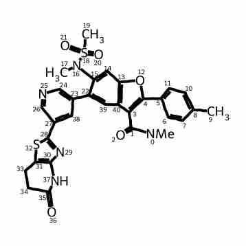 CNC(=O)c1c(-c2ccc(C)cc2)oc2cc(N(C)S(C)(=O)=O)c(-c3cncc(-c4nc5c(s4)CCC(=O)N5)c3)cc12